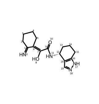 N=C1CCCC/C1=C(/O)C(=O)N[C@@H]1CCCc2[nH]ncc21